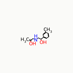 Cc1cccc(C(O)CNC[C@H](C)O)c1